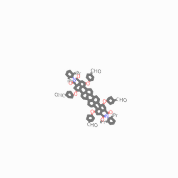 CC(C)c1cccc(C(C)C)c1N1C(=O)c2cc(Oc3ccc(C=O)cc3)c3c4ccc5c6ccc7c8c(Oc9ccc(C=O)cc9)cc9c%10c(cc(Oc%11ccc(C=O)cc%11)c(c%11ccc(c%12ccc(c%13c(Oc%14ccc(C=O)cc%14)cc(c2c3%13)C1=O)c4c5%12)c6c7%11)c%108)C(=O)N(c1c(C(C)C)cccc1C(C)C)C9=O